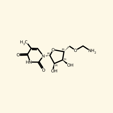 Cc1cn([C@@H]2O[C@H](COCN)[C@@H](O)[C@H]2O)c(=O)[nH]c1=O